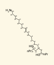 CCCC(O)CC(CCCCCCCC=CCCCCCCCCN)CC(O)CCC